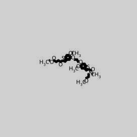 CCOC(=O)CCC(=O)c1cc2cc(OCCCOc3cc4sc(C(=O)N(C)CCCOC)cc4cc3OC)c(OC)cc2s1